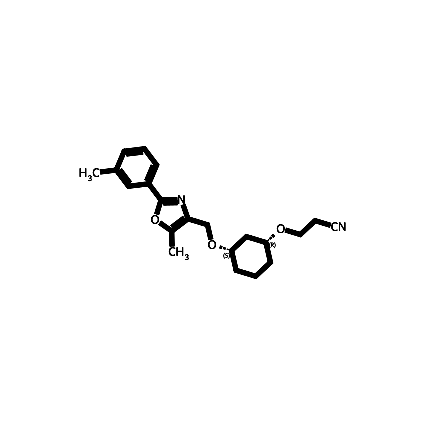 Cc1cccc(-c2nc(CO[C@H]3CCC[C@@H](OCCC#N)C3)c(C)o2)c1